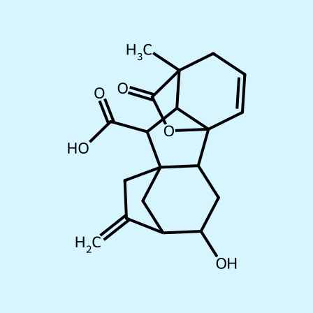 C=C1CC23CC1C(O)CC2C12C=CCC(C)(C(=O)O1)C2C3C(=O)O